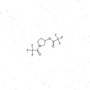 O=C(OC1CCN(C(=O)C(F)(F)F)C1)C(F)(F)F